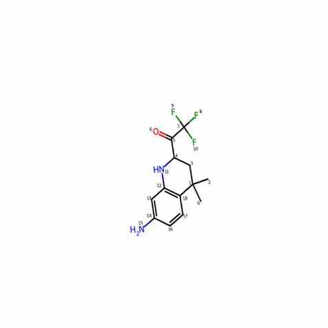 CC1(C)CC(C(=O)C(F)(F)F)Nc2cc(N)ccc21